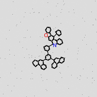 c1ccc(-c2c3c(cc4c(-c5cccc(-c6cc(-c7cc8ccccc8c8ccccc78)cc(-c7cc8ccccc8c8ccccc78)c6)c5)nc5ccccc5c24)oc2ccccc23)cc1